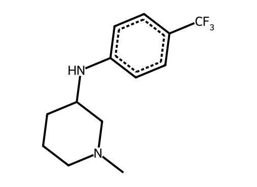 CN1CCCC(Nc2ccc(C(F)(F)F)cc2)C1